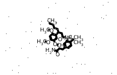 CCCCCC(CC(=O)Nc1cc(CCC(N)=O)ccc1C(C)(C)C)c1cc(OC)c(OC)cc1OC